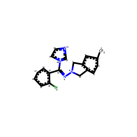 FC(F)(F)c1ccc2c(c1)CN(N=C(c1ccccc1Br)n1ccnc1)C2